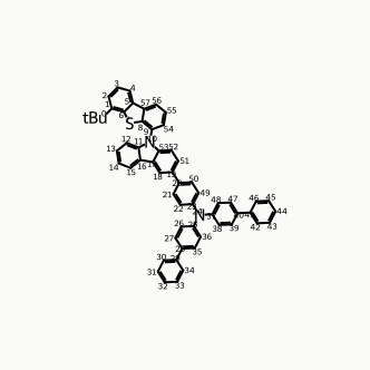 CC(C)(C)c1cccc2c1sc1c(-n3c4ccccc4c4cc(-c5ccc(N(c6ccc(-c7ccccc7)cc6)c6ccc(-c7ccccc7)cc6)cc5)ccc43)cccc12